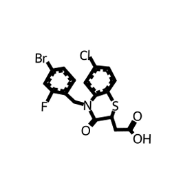 O=C(O)CC1Sc2ccc(Cl)cc2N(Cc2ccc(Br)cc2F)C1=O